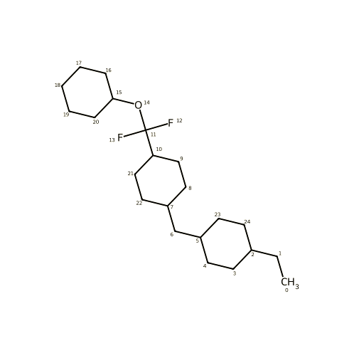 CCC1CCC(CC2CCC(C(F)(F)OC3CCCCC3)CC2)CC1